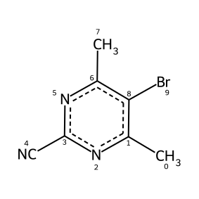 Cc1nc(C#N)nc(C)c1Br